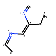 C=N/C(=C\N=C/C)CC(C)C